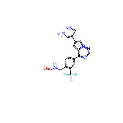 N=C/C(=C\N)c1cc2c(-c3ccc(CNC=O)c(C(F)(F)F)c3)ncnn2c1